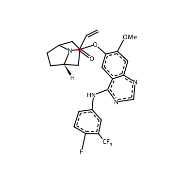 C=CC(=O)N1C2CC[C@H]1CC(Oc1cc3c(Nc4ccc(F)c(C(F)(F)F)c4)ncnc3cc1OC)C2